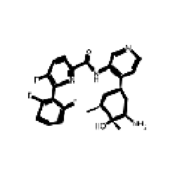 C[C@H]1C[C@@H](c2ccncc2NC(=O)c2ccc(F)c(-c3c(F)cccc3F)n2)C[C@@H](N)[C@]1(C)O